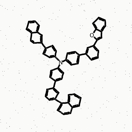 c1cc(-c2ccc(N(c3ccc(-c4cccc(-c5cccc6ccccc56)c4)cc3)c3ccc(-c4ccc5ccccc5c4)cc3)cc2)cc(-c2cc3ccccc3o2)c1